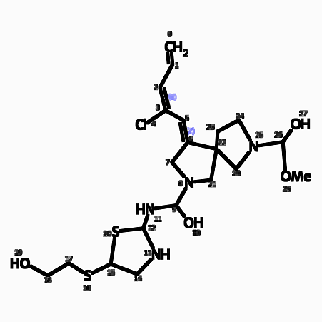 C=C/C=C(Cl)\C=C1/CN(C(O)NC2NCC(SCCO)S2)CC12CCN(C(O)OC)C2